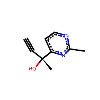 C#C[C@@](C)(O)c1ccnc(C)n1